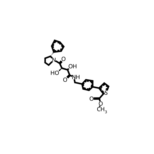 COC(=O)c1sccc1-c1ccc(CNC(=O)C(O)[C@@H](O)C(=O)N2CCC[C@@H]2c2ccccc2)cc1